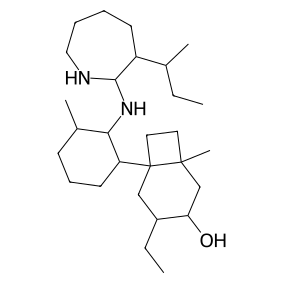 CCC(C)C1CCCCNC1NC1C(C)CCCC1C12CCC1(C)CC(O)C(CC)C2